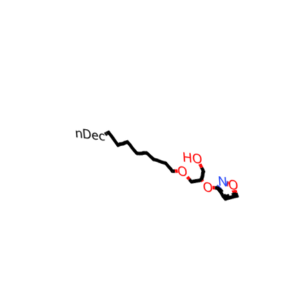 CCCCCCCCCCCCCCCCCCOCC(CO)Oc1ccon1